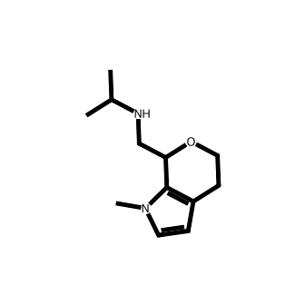 CC(C)NCC1OCCc2ccn(C)c21